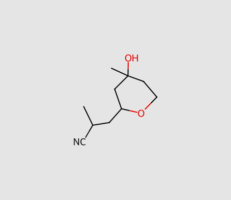 CC(C#N)CC1CC(C)(O)CCO1